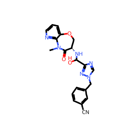 CN1C(=O)[C@@H](NC(O)c2ncn(Cc3cccc(C#N)c3)n2)COc2cccnc21